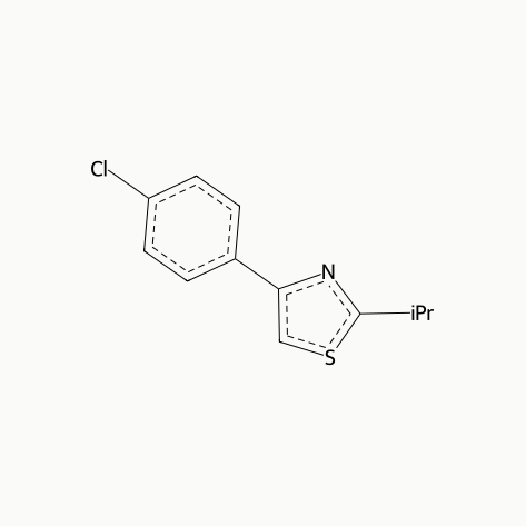 CC(C)c1nc(-c2ccc(Cl)cc2)cs1